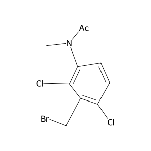 CC(=O)N(C)c1ccc(Cl)c(CBr)c1Cl